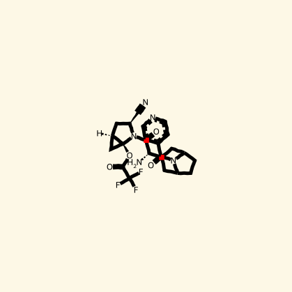 N#C[C@@H]1C[C@@H]2C[C@@]2(OC(=O)C(F)(F)F)N1C(=O)[C@@H](N)C1CC2CCC(C1)N2C(=O)c1ccncc1